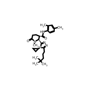 Cc1ccc(NC(=O)[C@@H]2CCC(=O)N(C)[C@@H]2c2nnc(CCCC(C)(C)C)n2C2CC2)c(C)c1